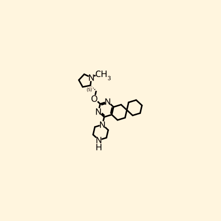 CN1CCC[C@H]1COc1nc2c(c(N3CCNCC3)n1)CCC1(CCCCC1)C2